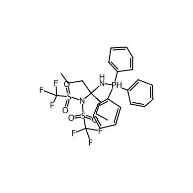 CCCC(CCC)(N[PH](c1ccccc1)(c1ccccc1)c1ccccc1)N(S(=O)(=O)C(F)(F)F)S(=O)(=O)C(F)(F)F